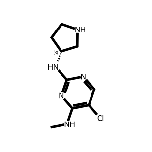 CNc1nc(N[C@@H]2CCNC2)ncc1Cl